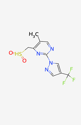 Cc1cnc(-n2cc(C(F)(F)F)cn2)nc1C[SH](=O)=O